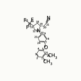 Cc1cccc(Oc2ccc(N3CC(C(F)(F)F)CC3CC#N)cc2)c1C